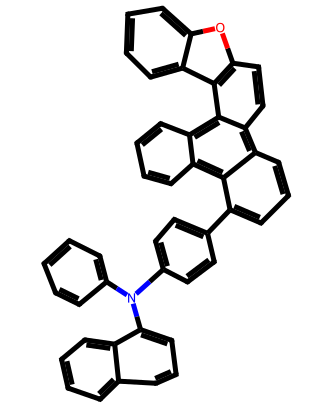 c1ccc(N(c2ccc(-c3cccc4c5ccc6oc7ccccc7c6c5c5ccccc5c34)cc2)c2cccc3ccccc23)cc1